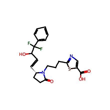 O=C(O)c1cnc(CCCN2C(=O)CC[C@@H]2C=CC(O)C(F)(F)c2ccccc2)s1